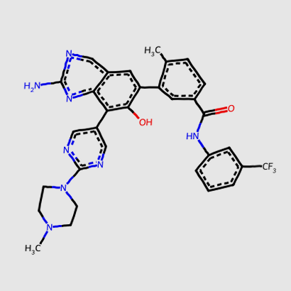 Cc1ccc(C(=O)Nc2cccc(C(F)(F)F)c2)cc1-c1cc2cnc(N)nc2c(-c2cnc(N3CCN(C)CC3)nc2)c1O